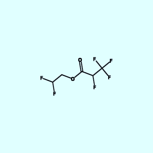 O=C(OCC(F)F)C(F)C(F)(F)F